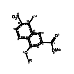 COC(=O)c1cc(OC(C)C)c2ccc([N+](=O)[O-])c(F)c2n1